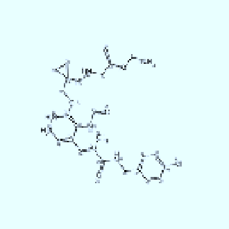 CCOC(=O)CNSC1(CO/C(N)=C(NC=O)/C(=C\N)/C=C(\C)C(=O)NCc2ccc(Cl)cc2)CC1